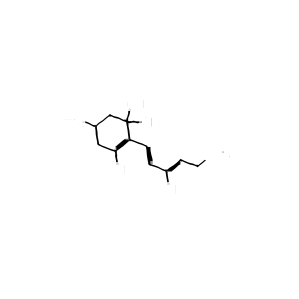 CC(=O)OCC=C(C)C=CC1=C(C)CC(O)CC1(C)C